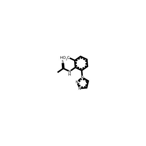 CC(=S)Nc1c(C(=O)O)cccc1-n1ccnn1